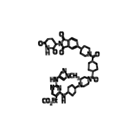 CCOC(=O)c1cnc(Nc2cnn(C)c2)nc1NC1CCC(N2CCN(C(=O)C3CCC(C(=O)N4CCC(c5ccc6c(c5)C(=O)N(C5CCC(=O)NC5=O)C6=O)CC4)CC3)CC2)CC1